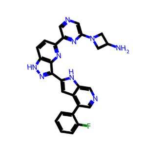 NC1CN(c2cncc(-c3ccc4[nH]nc(-c5cc6c(-c7ccccc7F)cncc6[nH]5)c4n3)n2)C1